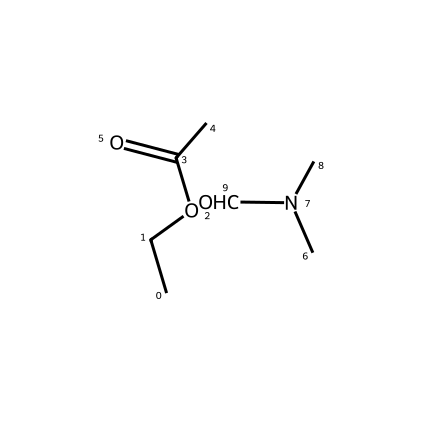 CCOC(C)=O.CN(C)C=O